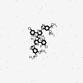 COc1cc2ncn(-c3ccc(C(C)(O)C(C)(O)c4ccc(-n5cnc6cc(OC)c(OC)cc65)nc4-c4cccc(Cl)c4F)c(-c4cccc(Cl)c4)n3)c2cc1OC